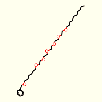 CCCCCCCCCCOCCOCCOCCOCCOCCOCCCCCCOCc1ccccc1